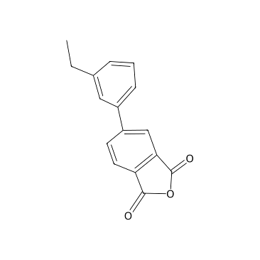 CCc1cccc(-c2ccc3c(c2)C(=O)OC3=O)c1